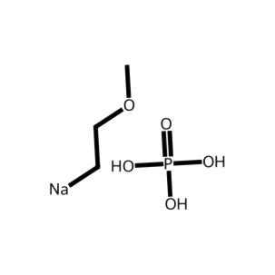 COC[CH2][Na].O=P(O)(O)O